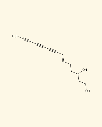 CC#CC#CC#C/C=C/CCC(O)CCO